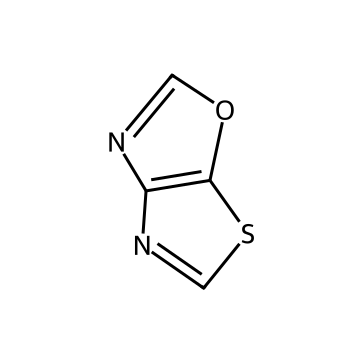 c1nc2ncsc2o1